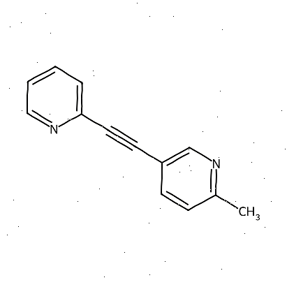 Cc1ccc(C#Cc2ccccn2)cn1